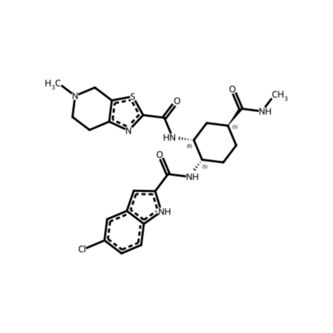 CNC(=O)[C@H]1CC[C@H](NC(=O)c2cc3cc(Cl)ccc3[nH]2)[C@H](NC(=O)c2nc3c(s2)CN(C)CC3)C1